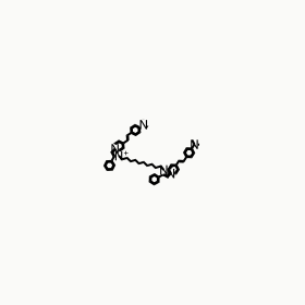 CN(C)c1ccc(/C=C/c2ccn3cc(-c4ccccc4)[n+](CCCCCCCCCC[n+]4c(-c5ccccc5)cn5ccc(/C=C/c6ccc(N(C)C)cc6)cc54)c3c2)cc1